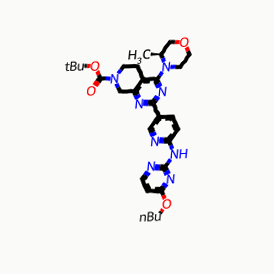 CCCCOc1ccnc(Nc2ccc(-c3nc4c(c(N5CCOC[C@@H]5C)n3)CCN(C(=O)OC(C)(C)C)C4)cn2)n1